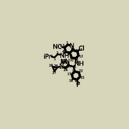 CC(C)CCNc1c(C#N)cnc2c(Cl)cc(NC(c3ccc(F)cc3)c3cn(C4CC4)nn3)cc12